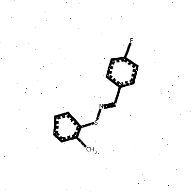 Cc1ccccc1S/N=C/c1ccc(F)cc1